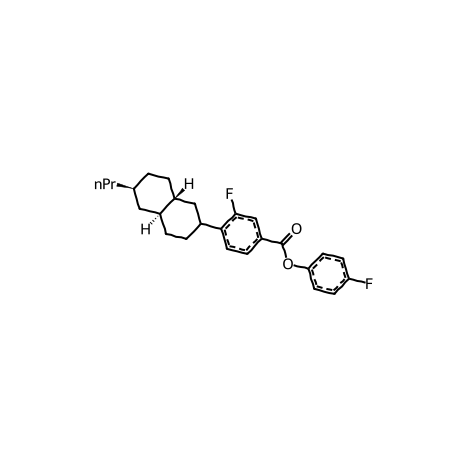 CCC[C@H]1CC[C@@H]2CC(c3ccc(C(=O)Oc4ccc(F)cc4)cc3F)CC[C@H]2C1